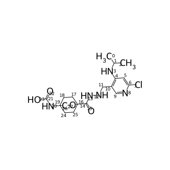 CC(C)Nc1cc(Cl)ncc1CNNC(=O)C12CCC(NC(=O)O)(CC1)CO2